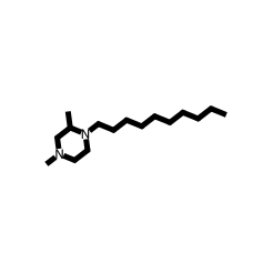 CCCCCCCCCCN1CCN(C)CC1C